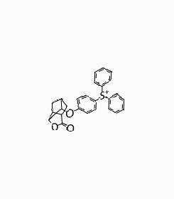 O=C1OC2C3CC(CC13)C2Oc1ccc([S+](c2ccccc2)c2ccccc2)cc1